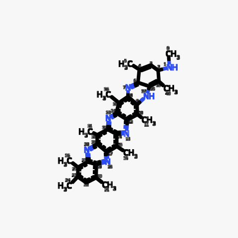 CNC1C=C(C)C2=Nc3c(c(C)c4nc5c(C)c6nc7c(C)cc(C)c(C)c7nc6c(C)c5nc4c3C)NC2=C1C